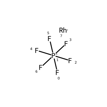 F[P-](F)(F)(F)(F)F.[Rh]